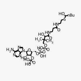 CCCCC(O)SCCNC(=O)CCNC(=O)C(O)C(C)(C)COP(=O)(O)OP(=O)(O)OC[C@H]1O[C@@H](n2cnc3c(N)ncnc32)[C@H](O)[C@@H]1OP(=O)(O)O